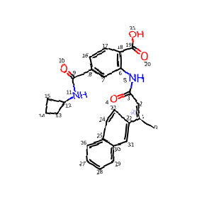 C/C(=C/C(=O)Nc1cc(C(=O)NC2CCC2)ccc1C(=O)O)c1ccc2ccccc2c1